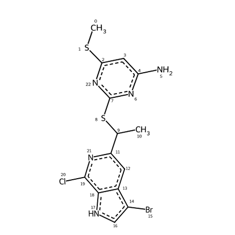 CSc1cc(N)nc(SC(C)c2cc3c(Br)c[nH]c3c(Cl)n2)n1